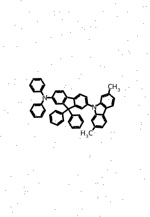 Cc1ccc2c3ccc(C)cc3n(-c3ccc4c(c3)C(c3ccccc3)(c3ccccc3)c3cc(N(c5ccccc5)c5ccccc5)ccc3-4)c2c1